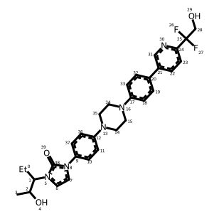 CCC(C(C)O)n1ccn(-c2ccc(N3CCN(c4ccc(-c5ccc(C(F)(F)CO)nc5)cc4)CC3)cc2)c1=O